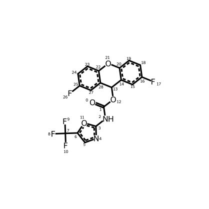 O=C(Nc1ncc(C(F)(F)F)o1)OC1c2cc(F)ccc2Oc2ccc(F)cc21